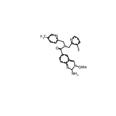 CON1C=c2cc(C(=O)N(Cc3ccc(C(F)(F)F)cn3)Cc3ncccc3F)ccc2=NC1N